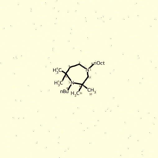 CCCCCCCCN1CCC(C)(C)N(CCCC)C(C)(C)C1